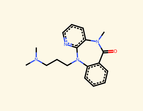 CN(C)CCCN1c2ccccc2C(=O)N(C)c2cccnc21